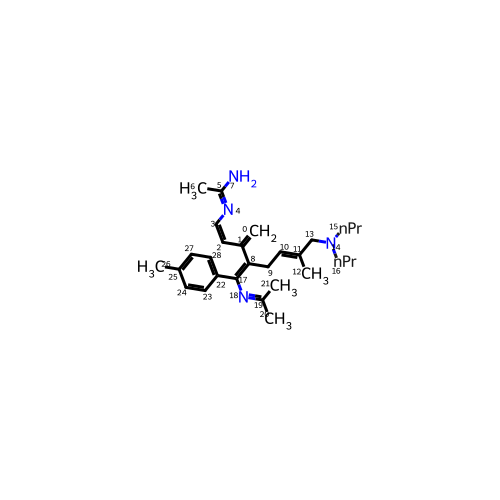 C=C(/C=C\N=C(/C)N)/C(C/C=C(\C)CN(CCC)CCC)=C(/N=C(C)C)c1ccc(C)cc1